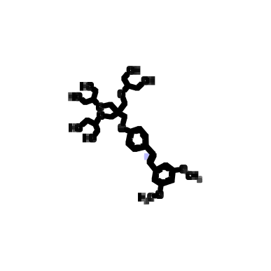 COc1cc(/C=C/c2ccc(OCC(COC(CO)CO)(COC(CO)CO)COC(CO)CO)cc2)cc(OC)c1